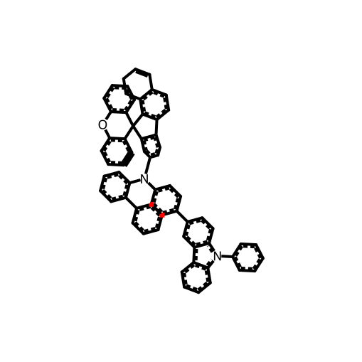 c1ccc2c(c#1)C1(c3ccccc3O2)c2cc(N(c3ccc(-c4ccc5c(c4)c4ccccc4n5-c4ccccc4)cc3)c3ccccc3-c3ccccc3)ccc2-c2ccc3c(c21)CCC=C3